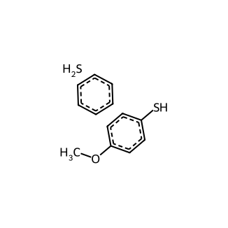 COc1ccc(S)cc1.S.c1ccccc1